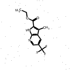 CCOC(=O)c1[nH]c2ncc(C(F)(F)F)cc2c1C